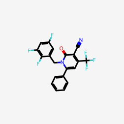 N#Cc1c(C(F)(F)F)cc(-c2ccccc2)n(Cc2cc(F)cc(F)c2F)c1=O